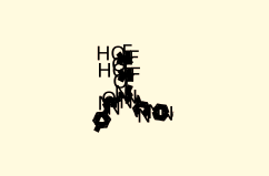 Cc1ccc(-c2noc(-c3nc(C)n(Cc4ccnc(N5CCN(C)CC5)c4)n3)n2)cc1.O=C(O)C(F)(F)F.O=C(O)C(F)(F)F